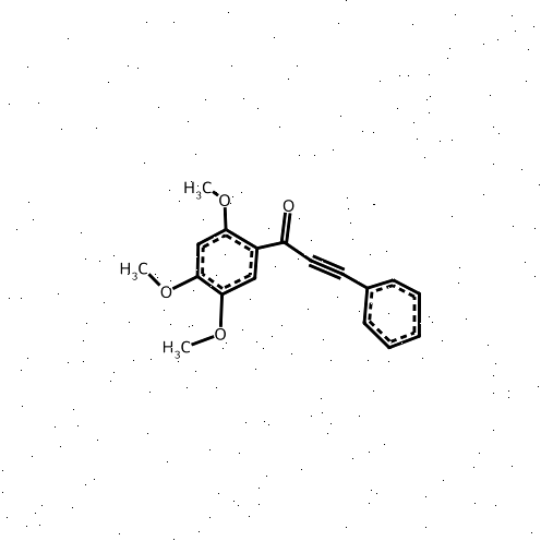 COc1cc(OC)c(C(=O)C#Cc2ccccc2)cc1OC